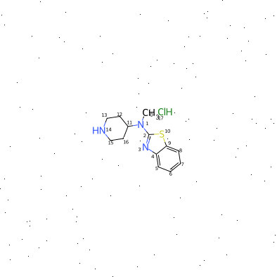 CN(c1nc2ccccc2s1)C1CCNCC1.Cl